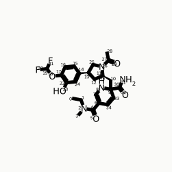 CCN(C)C(=O)C1=CNC(C[C@H]2C[C@@H](c3ccc(OC(F)F)c(O)c3)CN2C(C)=O)(C(N)=O)C=C1